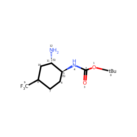 CC(C)(C)OC(=O)N[C@H]1CCC(C(F)(F)F)C[C@@H]1N